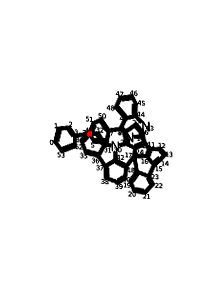 c1ccc(-c2ccc(-c3nc(-c4cccc5c4C4(c6ccccc6-5)c5ccccc5-n5c6ccccc6c6cccc4c65)nc4ccccc34)cc2)cc1